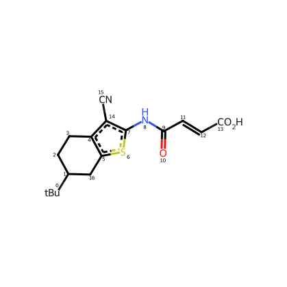 CC(C)(C)C1CCc2c(sc(NC(=O)C=CC(=O)O)c2C#N)C1